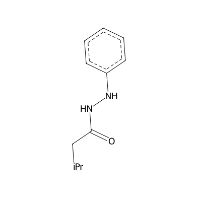 CC(C)CC(=O)NNc1ccccc1